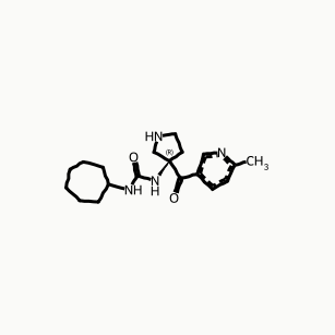 Cc1ccc(C(=O)[C@@]2(NC(=O)NC3CCCCCC3)CCNC2)cn1